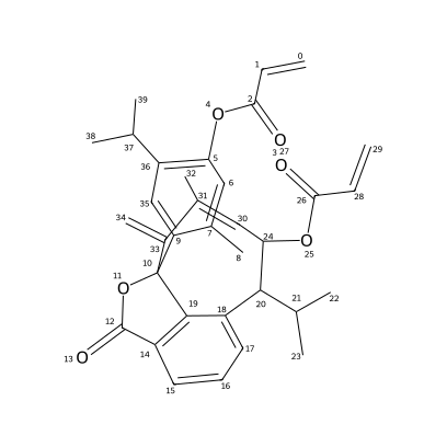 C=CC(=O)Oc1cc(C)c(C23OC(=O)c4cccc(c42)C(C(C)C)C(OC(=O)C=C)/C=C(/C)C3=C)cc1C(C)C